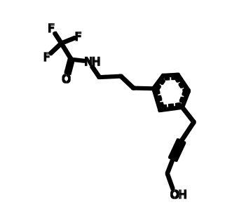 O=C(NCCCc1cccc(CC#CCO)c1)C(F)(F)F